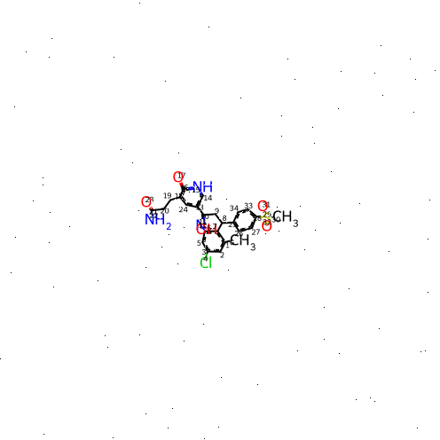 Cc1cc(Cl)ccc1C(C/C(=N\O)c1c[nH]c(=O)c(CCC(N)=O)c1)c1ccc(S(C)(=O)=O)cc1